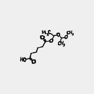 COC(C)OC(C)OC(=O)CCCCC(=O)O